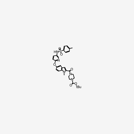 Cc1ccc(S(=O)(=O)Nc2ccc(Oc3ccc4c(c3)cc(C(=O)N3CCN(C(=O)OC(C)(C)C)CC3)n4C)nc2)cc1